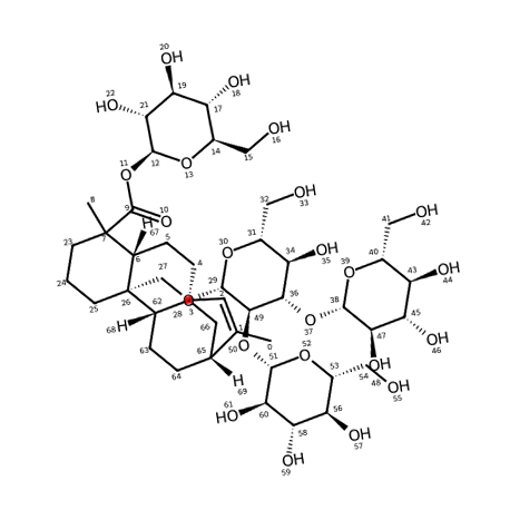 CC1=C[C@]23CC[C@H]4C(C)(C(=O)O[C@@H]5O[C@H](CO)[C@@H](O)[C@H](O)[C@H]5O)CCC[C@]4(CO[C@@H]4O[C@H](CO)[C@@H](O)[C@H](O[C@@H]5O[C@H](CO)[C@@H](O)[C@H](O)[C@H]5O)[C@H]4O[C@@H]4O[C@H](CO)[C@@H](O)[C@H](O)[C@H]4O)[C@H]2CC[C@@H]1C3